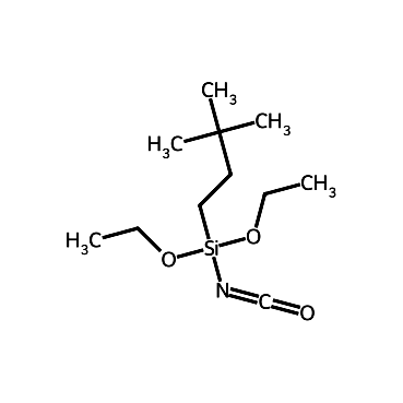 CCO[Si](CCC(C)(C)C)(N=C=O)OCC